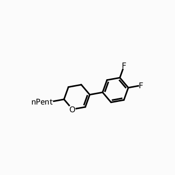 CCCCCC1CCC(c2ccc(F)c(F)c2)=CO1